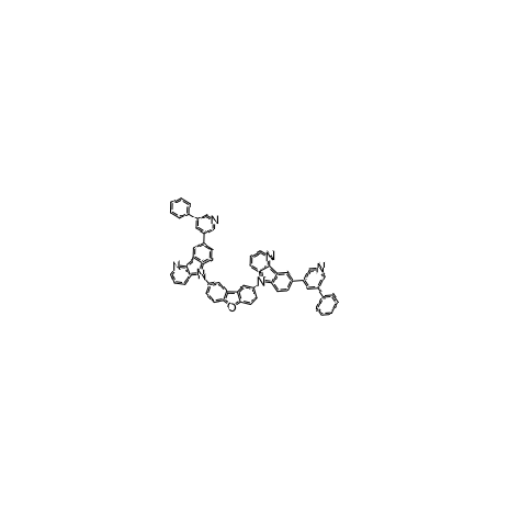 c1ccc(-c2cncc(-c3ccc4c(c3)c3ncccc3n4-c3ccc4oc5ccc(-n6c7ccc(-c8cncc(-c9ccccc9)c8)cc7c7ncccc76)cc5c4c3)c2)cc1